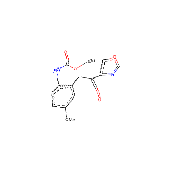 COc1ccc(NC(=O)OC(C)(C)C)c(CC(=O)c2cocn2)c1